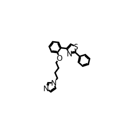 c1ccc(-c2nc(-c3ccccc3OCCCCn3ccnc3)cs2)cc1